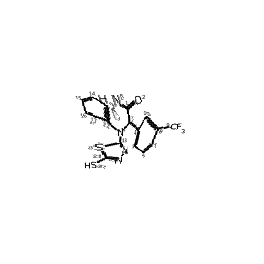 NC(=O)C(c1cccc(C(F)(F)F)c1)N(c1ccccc1)c1nnc(S)s1